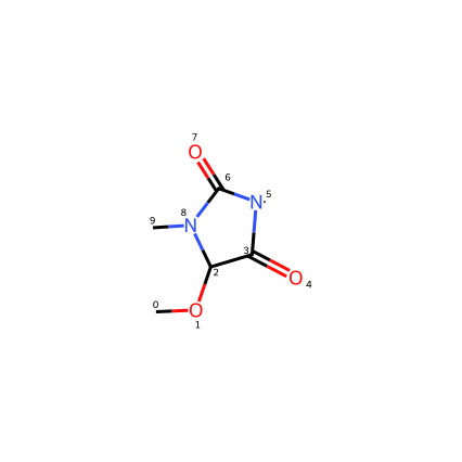 COC1C(=O)[N]C(=O)N1C